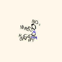 COc1cc([N+](=O)[O-])ccc1N1CCC(N[C@@H](C(C)C)C(C)(C)N=O)CC1